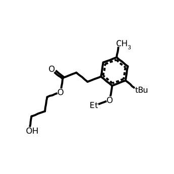 CCOc1c(CCC(=O)OCCCO)cc(C)cc1C(C)(C)C